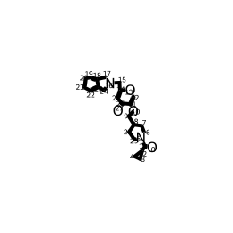 O=C(C1CC1)N1CCC(COc2coc(CN3Cc4ccccc4C3)cc2=O)CC1